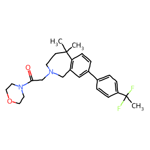 CC(F)(F)c1ccc(-c2ccc3c(c2)CN(CC(=O)N2CCOCC2)CCC3(C)C)cc1